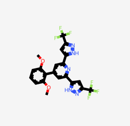 COc1cccc(OC)c1-c1cc(-c2cc(C(F)(F)F)n[nH]2)nc(-c2cc(C(F)(F)F)n[nH]2)c1